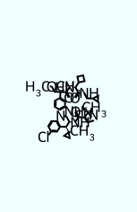 COCC(C)(C(=O)N[C@@H](C(=O)NCC1CC1)C1CCC1)c1ccc2nc([C@@H](NC(=O)c3ccnn3C)[C@H](c3cccc(Cl)c3)C3(C)CC3)[nH]c2c1